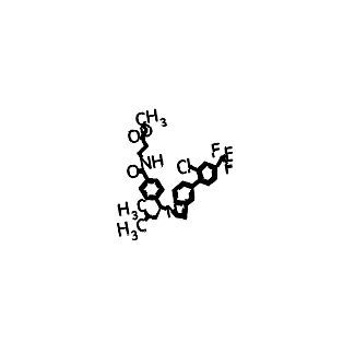 COC(=O)CCNC(=O)c1ccc([C@H](CC(C)C)n2ccc3cc(-c4ccc(C(F)(F)F)cc4Cl)ccc32)cc1